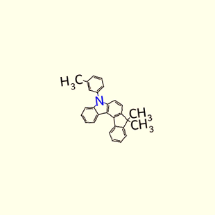 Cc1cccc(-n2c3ccccc3c3c4c(ccc32)C(C)(C)c2ccccc2-4)c1